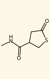 CNC(=O)C1CSC(=O)C1